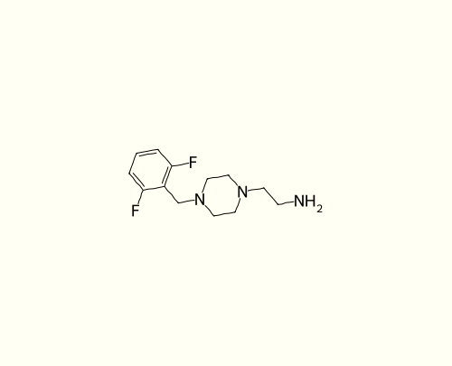 NCCN1CCN(Cc2c(F)cccc2F)CC1